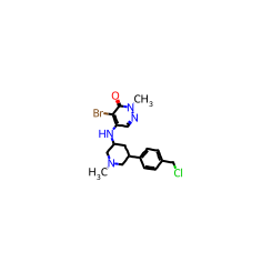 CN1CC(Nc2cnn(C)c(=O)c2Br)CC(c2ccc(CCl)cc2)C1